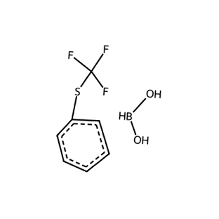 FC(F)(F)Sc1ccccc1.OBO